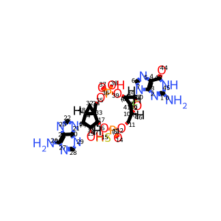 Nc1nc2c(ncn2[C@@H]2O[C@@H]3CO[P@](=O)(S)O[C@H]4[C@@H](O)[C@H](n5cnc6c(N)ncnc65)[C@H]5CC54COP(=O)(O)O[C@@H]2[C@@H]3F)c(=O)[nH]1